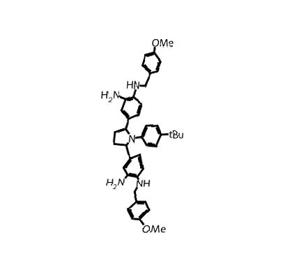 COc1ccc(CNc2ccc(C3CCC(c4ccc(NCc5ccc(OC)cc5)c(N)c4)N3c3ccc(C(C)(C)C)cc3)cc2N)cc1